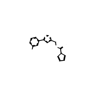 O=C(OCc1cc(-c2cccc(Br)c2)no1)C1C=CC=C1